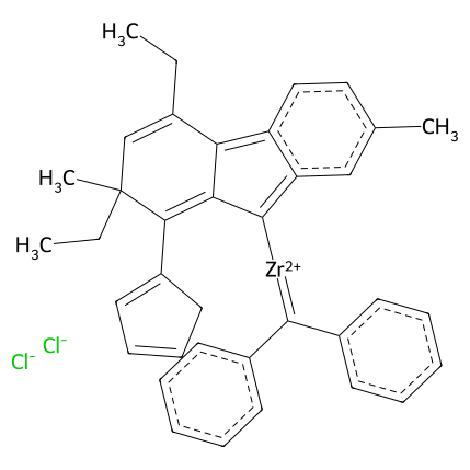 CCC1=CC(C)(CC)C(C2=CC=CC2)=C2[C]([Zr+2]=[C](c3ccccc3)c3ccccc3)=c3cc(C)ccc3=C12.[Cl-].[Cl-]